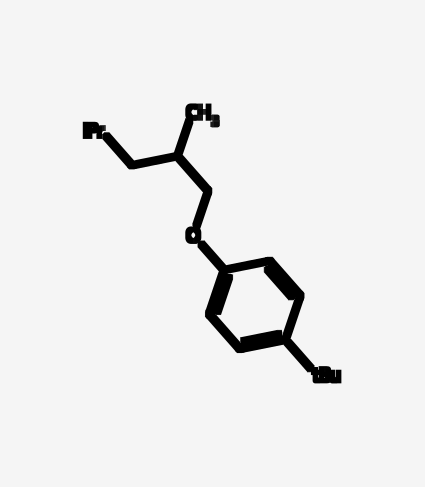 CC(C)CC(C)COc1ccc(C(C)(C)C)cc1